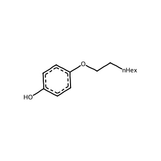 C[CH]CCCCCCOc1ccc(O)cc1